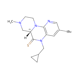 CN1CCN2c3ncc(C(C)(C)C)cc3N(CC3CC3)C(=S)[C@@H]2C1